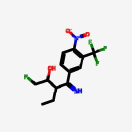 CCC(C(=N)c1ccc([N+](=O)[O-])c(C(F)(F)F)c1)C(O)CF